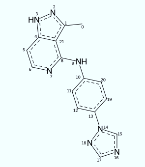 Cc1n[nH]c2ccnc(Nc3ccc(-n4cncn4)cc3)c12